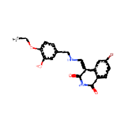 CCOc1ccc(CNC=C2C(=O)NC(=O)c3ccc(Br)cc32)cc1O